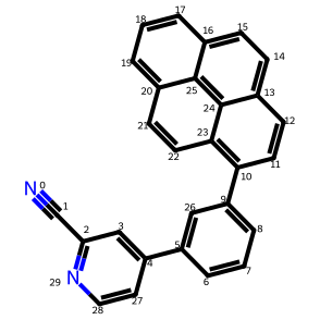 N#Cc1cc(-c2cccc(-c3ccc4ccc5cccc6ccc3c4c56)c2)ccn1